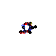 O=C(O)[C@H](Cc1ccccc1)NC(=O)[C@H]1Cc2ccc(cc2)NC(=O)[C@H](O)[C@@H](O)C(=O)N[C@@H](Cc2cccs2)C(=O)N[C@H](Cc2ccc(-c3ccccc3)cc2)C(=O)N[C@@H](Cc2ccccc2)C(=O)N1